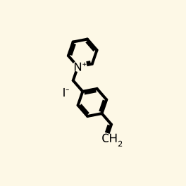 C=Cc1ccc(C[n+]2ccccc2)cc1.[I-]